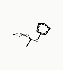 CC(Oc1ccccc1)OS(=O)(=O)O